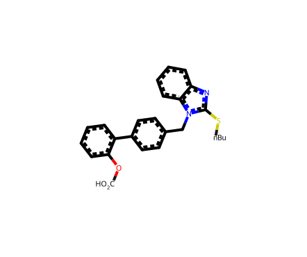 CCCCSc1nc2ccccc2n1Cc1ccc(-c2ccccc2OC(=O)O)cc1